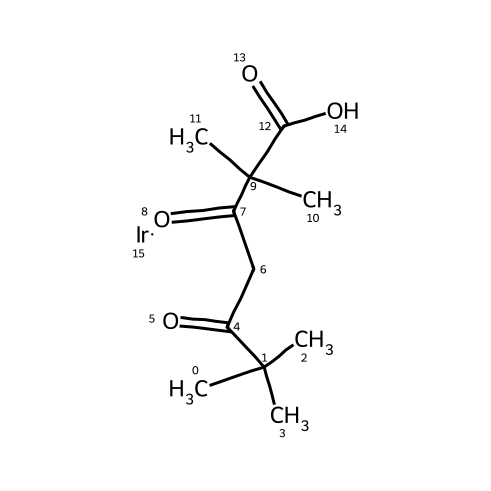 CC(C)(C)C(=O)CC(=O)C(C)(C)C(=O)O.[Ir]